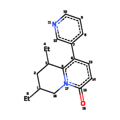 CCC1CC(CC)c2c(-c3cccnc3)ccc(=O)n2C1